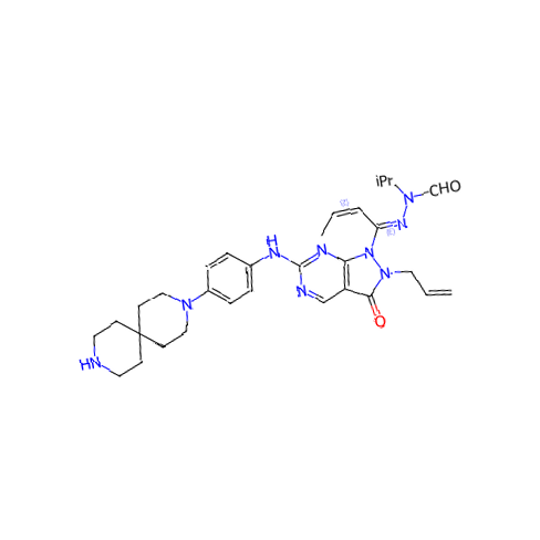 C=CCn1c(=O)c2cnc(Nc3ccc(N4CCC5(CCNCC5)CC4)cc3)nc2n1C(/C=C\C)=N/N(C=O)C(C)C